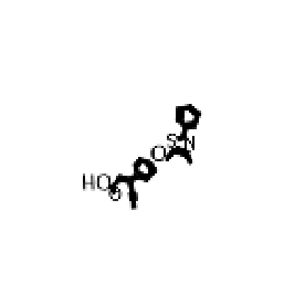 CC#CC(CC(=O)O)c1ccc(OCc2sc(-c3ccccc3)nc2C)cc1